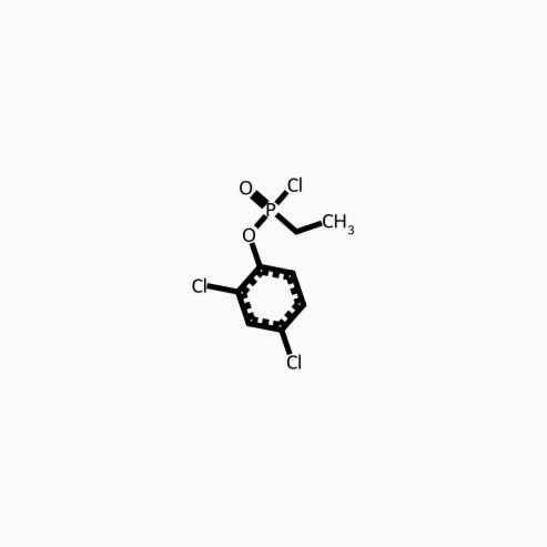 CCP(=O)(Cl)Oc1ccc(Cl)cc1Cl